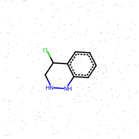 ClC1CNNc2ccccc21